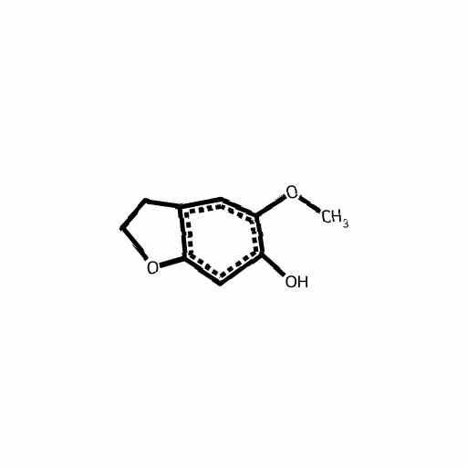 COc1cc2c(cc1O)OCC2